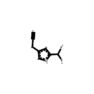 C#C[CH]c1coc(C(F)F)c1